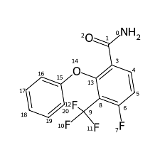 NC(=O)c1ccc(F)c(C(F)(F)F)c1Oc1ccccc1